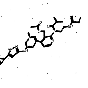 C=C(CC)NCCN(C(=O)C(C)C)c1nccc(C2=CN(C)CC(Nc3cc(C4CC4)[nH]n3)=C2)c1COC(C)=O